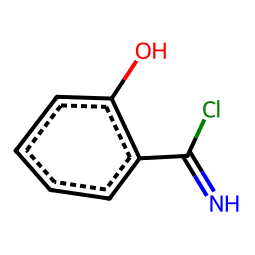 N=C(Cl)c1ccccc1O